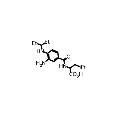 CCC(CC)Nc1ccc(C(=O)N[C@@H](CC(C)C)C(=O)O)cc1N